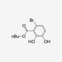 CCCCOC(=O)c1c(Br)ccc(O)c1O